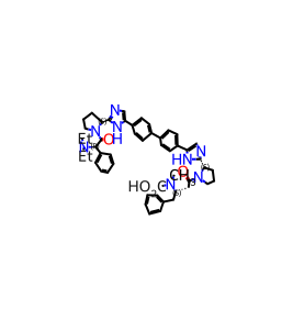 CCN(CC)[C@@H](C(=O)N1CCC[C@H]1c1ncc(-c2ccc(-c3ccc(-c4cnc([C@@H]5CCCN5C(=O)C[C@H](Cc5ccccc5)N(C)C(=O)O)[nH]4)cc3)cc2)[nH]1)c1ccccc1